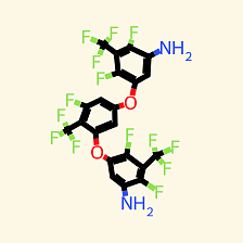 Nc1cc(Oc2cc(F)c(C(F)(F)F)c(Oc3cc(N)c(F)c(C(F)(F)F)c3F)c2)c(F)c(C(F)(F)F)c1F